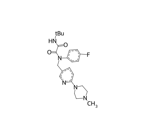 CN1CCN(c2ccc(CN(C(=O)C(=O)NC(C)(C)C)c3ccc(F)cc3)cn2)CC1